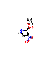 C[Si](C)(C)OC(=O)c1cc([N+](=O)[O-])ccn1